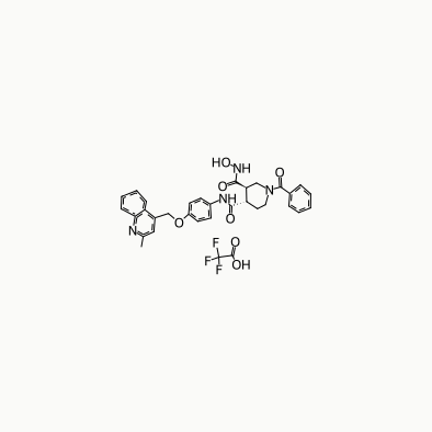 Cc1cc(COc2ccc(NC(=O)[C@H]3CCN(C(=O)c4ccccc4)C[C@@H]3C(=O)NO)cc2)c2ccccc2n1.O=C(O)C(F)(F)F